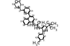 Cc1ccc(-n2nc(C(C)(C)C)cc2NC(=O)Nc2ccc(-c3cccc(CN4CCOCC4)n3)c3ccccc23)cc1